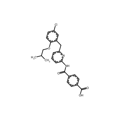 CC(C)COc1ccc(Cl)cc1Cc1cccc(NC(=O)c2ccc(C(=O)O)cc2)n1